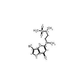 CN(CCN(C)S(C)(=O)=O)c1cc(=O)c2occ(Br)c2o1